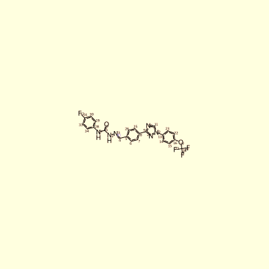 O=C(N/N=C/c1ccc(-c2ncn(-c3ccc(OC(F)(F)F)cc3)n2)cc1)Nc1ccc(F)cc1